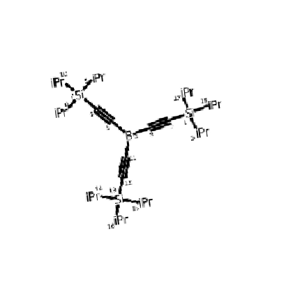 CC(C)[Si](C#CB(C#C[Si](C(C)C)(C(C)C)C(C)C)C#C[Si](C(C)C)(C(C)C)C(C)C)(C(C)C)C(C)C